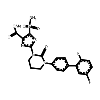 COC(=O)c1nc(N2CCCN(c3ccc(-c4cc(F)ccc4F)cc3)C2=O)sc1S(N)(=O)=O